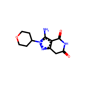 Nc1c2c(nn1C1CCOCC1)CC(=O)NC2=O